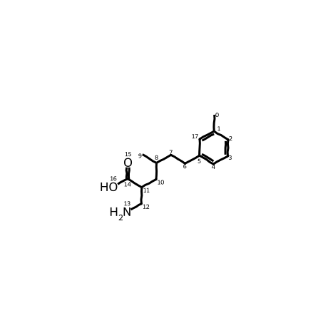 Cc1cccc(CCC(C)CC(CN)C(=O)O)c1